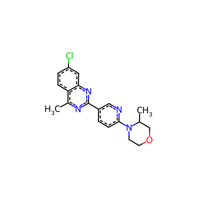 Cc1nc(-c2ccc(N3CCOCC3C)nc2)nc2cc(Cl)ccc12